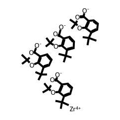 CC(C)(C)Oc1c(C(=O)[O-])cccc1C(C)(C)C.CC(C)(C)Oc1c(C(=O)[O-])cccc1C(C)(C)C.CC(C)(C)Oc1c(C(=O)[O-])cccc1C(C)(C)C.CC(C)(C)Oc1c(C(=O)[O-])cccc1C(C)(C)C.[Zr+4]